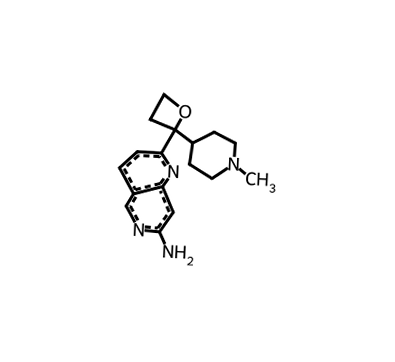 CN1CCC(C2(c3ccc4cnc(N)cc4n3)CCO2)CC1